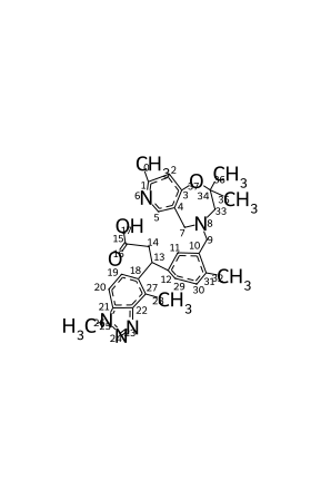 Cc1cc2c(cn1)CN(Cc1cc(C(CC(=O)O)c3ccc4c(nnn4C)c3C)ccc1C)CC(C)(C)O2